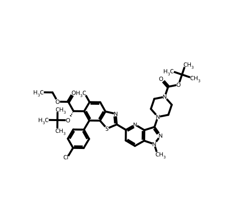 CCOC(=O)[C@@H](OC(C)(C)C)c1c(C)cc2nc(-c3ccc4c(n3)c(N3CCN(C(=O)OC(C)(C)C)CC3)nn4C)sc2c1-c1ccc(Cl)cc1